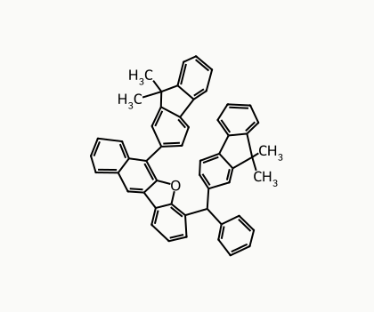 CC1(C)c2ccccc2-c2ccc(-c3c4ccccc4cc4c3oc3c(C(c5ccccc5)c5ccc6c(c5)C(C)(C)c5ccccc5-6)cccc34)cc21